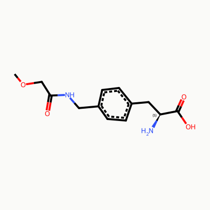 COCC(=O)NCc1ccc(C[C@H](N)C(=O)O)cc1